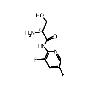 N[C@@H](CO)C(=O)Nc1ncc(F)cc1F